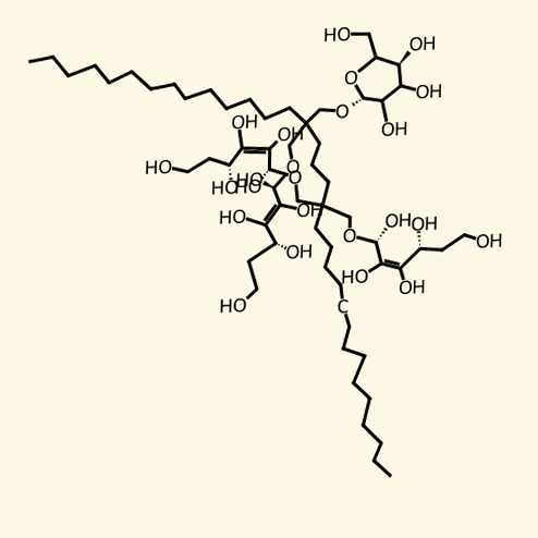 CCCCCCCCCCCCCCC(CCCC(CCCCCCCCCCCCCC)(CO[C@@H]1OC(CO)[C@@H](O)C(O)C1O)CO[C@H](O)/C(O)=C(\O)[C@H](O)CCO)(CO[C@H](O)/C(O)=C(/O)[C@H](O)CCO)CO[C@H](O)/C(O)=C(/O)[C@H](O)CCO